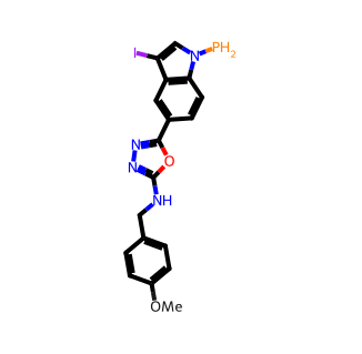 COc1ccc(CNc2nnc(-c3ccc4c(c3)c(I)cn4P)o2)cc1